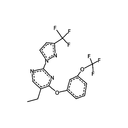 CCc1cnc(-n2ccc(C(F)(F)F)n2)nc1Oc1cccc(OC(F)(F)F)c1